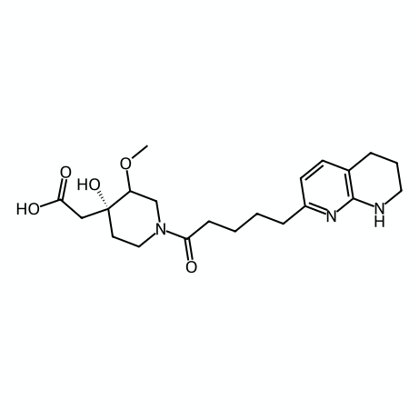 COC1CN(C(=O)CCCCc2ccc3c(n2)NCCC3)CC[C@@]1(O)CC(=O)O